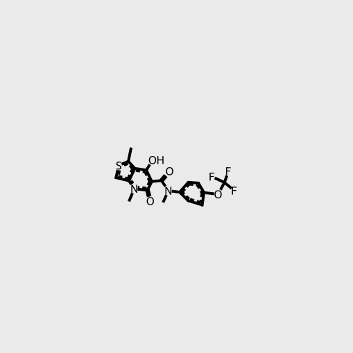 Cc1scc2c1c(O)c(C(=O)N(C)c1ccc(OC(F)(F)F)cc1)c(=O)n2C